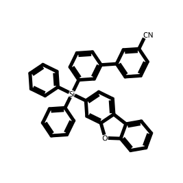 N#Cc1cccc(-c2cccc([Si](c3ccccc3)(c3ccccc3)c3ccc4c(c3)oc3ccccc34)c2)c1